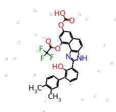 Cc1ccc(-c2cccc(-c3nc4c(ccc5cc(OC(=O)O)cc(OC(=O)C(F)(F)F)c54)[nH]3)c2O)cc1C